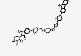 C=C1CCC(N2C(=O)c3ccc(N4CCC(CCN5CCC(OC6CN(c7ccc(-c8ccc9c%10cnccc%10n(C)c9c8)cn7)C6)CC5)CC4)cc3C2=O)C(=O)N1